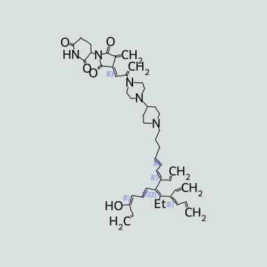 C=C/C=C(C=C)/C(CC)=C(/C=C/C=C(/O)C=C)C(\C=C)=C\C=C\CCCN1CCC(N2CCN(C(=C)/C=C3\C(=C)C(=O)N(C4CCC(=O)NC4=O)C3=O)CC2)CC1